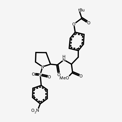 COC(=O)C(Cc1ccc(OC(=O)C(C)(C)C)cc1)NC(=O)C1CCCN1S(=O)(=O)c1ccc([N+](=O)[O-])cc1